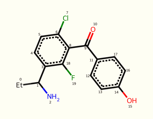 CCC(N)c1ccc(Cl)c(C(=O)c2ccc(O)cc2)c1F